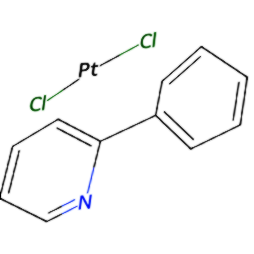 [Cl][Pt][Cl].c1ccc(-c2ccccn2)cc1